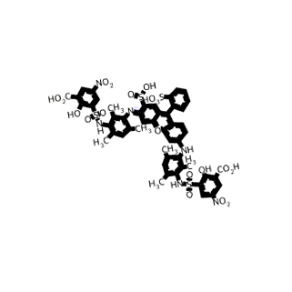 Cc1cc(C)c(NS(=O)(=O)c2cc([N+](=O)[O-])cc(C(=O)O)c2O)c(C)c1/N=c1\cc2oc3cc(Nc4c(C)cc(C)c(NS(=O)(=O)c5cc([N+](=O)[O-])cc(C(=O)O)c5O)c4C)ccc3c(-c3ccccc3S(=O)(=O)O)c-2cc1S(=O)O